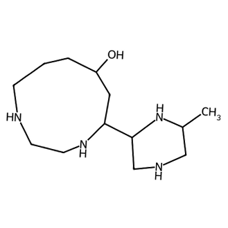 CC1CNCC(C2CC(O)CCCNCCN2)N1